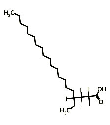 CCCCCCCCCCCCCCCCC(I)(CC)C(I)(I)C(I)(I)C(=O)O